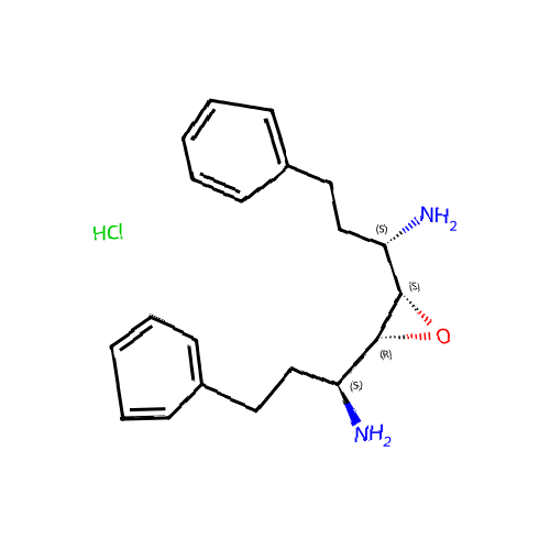 Cl.N[C@@H](CCc1ccccc1)[C@@H]1O[C@@H]1[C@@H](N)CCc1ccccc1